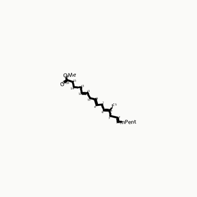 CCCCCC=CCC(F)=CCC=CCC=CCCCC(=O)OC